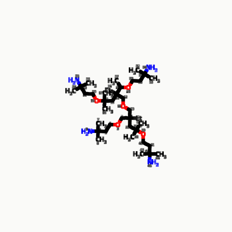 CCC(COCCC(C)(C)N)(COCC(CC)(CC(C)(C)OCCC(C)(C)N)C(C)OCCC(C)(C)N)CC(C)(C)OCCC(C)(C)N